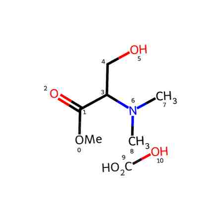 COC(=O)C(CO)N(C)C.O=C(O)O